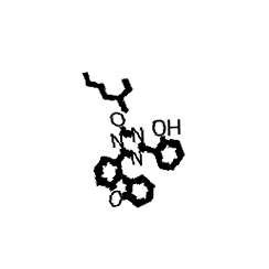 CCCCC(CC)COc1nc(-c2ccccc2O)nc(-c2cccc3oc4ccccc4c23)n1